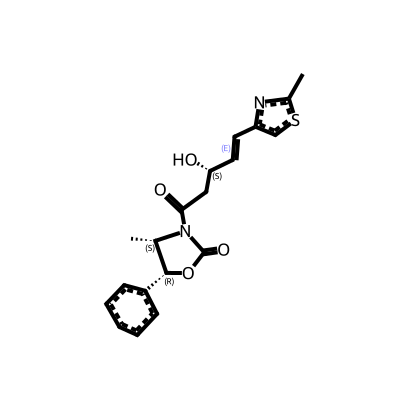 Cc1nc(/C=C/[C@@H](O)CC(=O)N2C(=O)O[C@H](c3ccccc3)[C@@H]2C)cs1